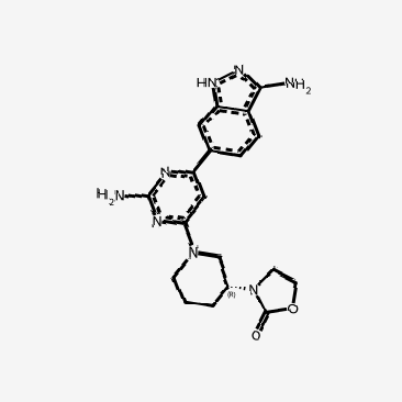 Nc1nc(-c2ccc3c(N)n[nH]c3c2)cc(N2CCC[C@@H](N3CCOC3=O)C2)n1